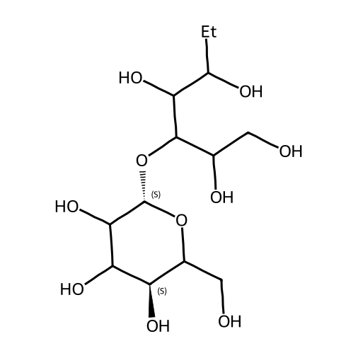 CCC(O)C(O)C(O[C@@H]1OC(CO)[C@@H](O)C(O)C1O)C(O)CO